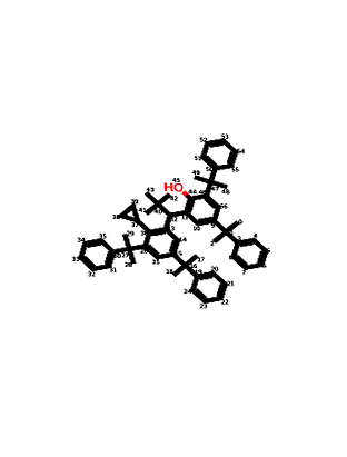 CC(C)(c1ccccc1)c1cc(C(c2cc(C(C)(C)c3ccccc3)cc(C(C)(C)c3ccccc3)c2C2CC2)C(C)(C)C)c(O)c(C(C)(C)c2ccccc2)c1